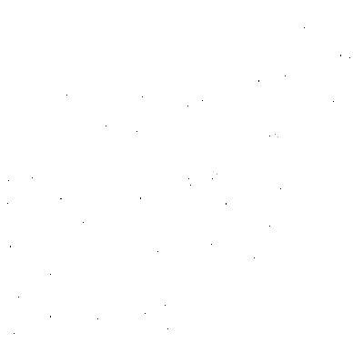 c1ccc(-c2ccc3c(c2)c2cnccc2n3-c2ccc3c(-c4ccc5ccccc5c4)c4ccccc4c(-c4ccc5ccccc5c4)c3c2)cc1